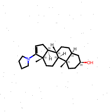 C[C@]12CC[C@H](O)C[C@@H]1CC[C@@H]1[C@@H]2CC[C@]2(C)C(N3CCCC3)=CC[C@@H]12